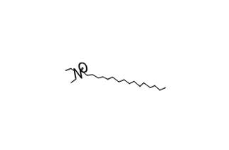 CCCCCCCCCCCCCCCCC(=O)N(CC)CC